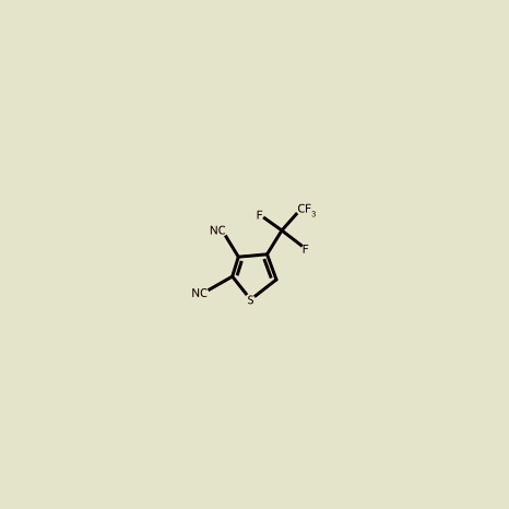 N#Cc1scc(C(F)(F)C(F)(F)F)c1C#N